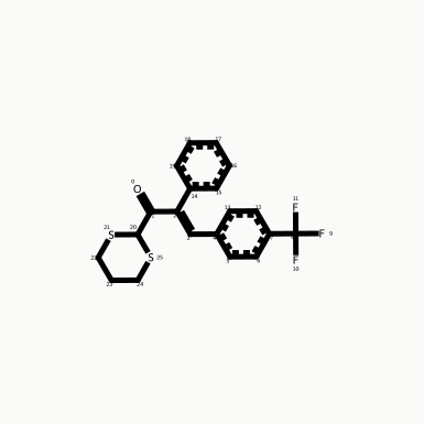 O=C(/C(=C/c1ccc(C(F)(F)F)cc1)c1ccccc1)C1SCCCS1